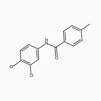 [CH2]c1ccc(C(=O)Nc2ccc(Cl)c(Cl)c2)cc1